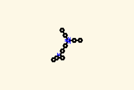 c1ccc(-c2ccc(-c3nc(-c4ccc(-c5ccccc5)cc4)nc(-c4ccc(-c5ccc(-c6nc7cc8ccccc8cc7c7ccccc67)cc5)cc4)n3)cc2)cc1